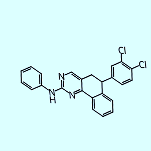 Clc1ccc(C2Cc3cnc(Nc4ccccc4)nc3-c3ccccc32)cc1Cl